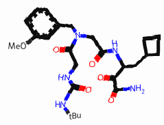 COc1cccc(CN(CC(=O)NC(CC2CCC2)C(=O)C(N)=O)C(=O)CNC(=O)NC(C)(C)C)c1